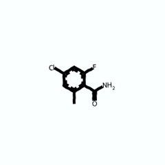 Cc1cc(Cl)cc(F)c1C(N)=O